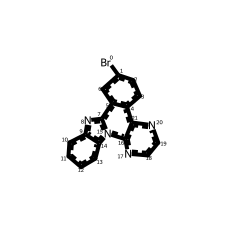 Brc1ccc2c(c1)c1nc3ccccc3n1c1nccnc21